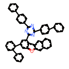 c1ccc(-c2ccc(-c3nc(-c4ccc(-c5ccccc5)cc4)nc(-c4cc(-c5ccccc5-c5ccccc5)cc5oc6cc7ccccc7cc6c45)n3)cc2)cc1